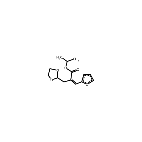 CC(C)OC(=O)C(=Cc1ccco1)CC1OCCO1